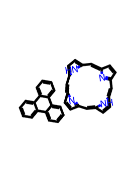 C1=Cc2cc3ccc(cc4nc(cc5ccc(cc1n2)[nH]5)C=C4)[nH]3.c1ccc2c(c1)c1ccccc1c1ccccc21